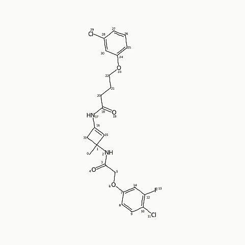 CC1(NC(=O)COc2ccc(Cl)c(F)c2)C=C(NC(=O)CCCOc2cccc(Cl)c2)C1